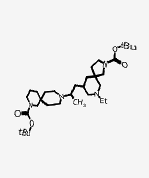 CCN1CC(CC(C)N2CCC3(CCCN(C(=O)OC(C)(C)C)C3)CC2)CC2(CCN(C(=O)OC(C)(C)C)C2)C1